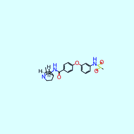 C[C@H]1[C@H](NC(=O)c2ccc(Oc3cccc(NS(C)(=O)=O)c3)cc2)C2CCN1CC2